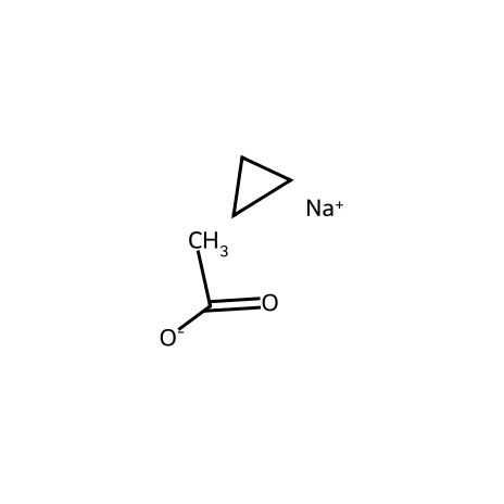 C1CC1.CC(=O)[O-].[Na+]